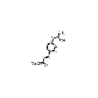 COC(=O)C=Cc1ccc(CN(C)C)nc1